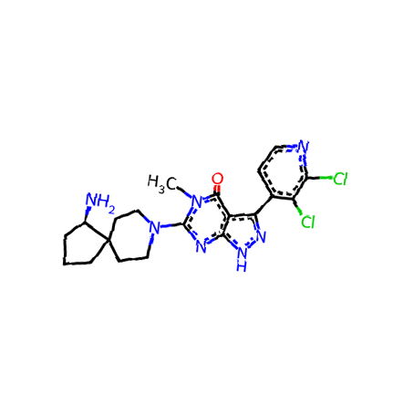 Cn1c(N2CCC3(CCC[C@H]3N)CC2)nc2[nH]nc(-c3ccnc(Cl)c3Cl)c2c1=O